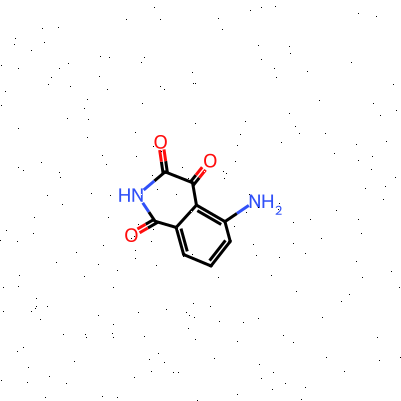 Nc1cccc2c1C(=O)C(=O)NC2=O